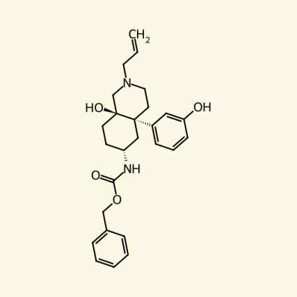 C=CCN1CC[C@@]2(c3cccc(O)c3)C[C@H](NC(=O)OCc3ccccc3)CC[C@]2(O)C1